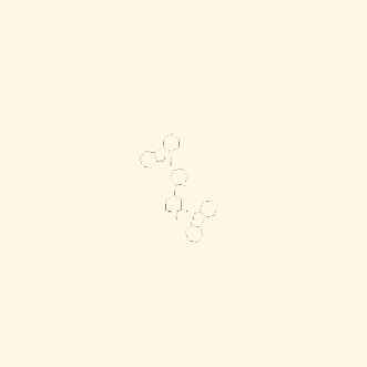 Cc1ccc2c(c1)c1ccccc1n2-c1ccc2sc3c(-n4c5ccccc5c5cc(C)ccc54)nc(C)cc3c2c1